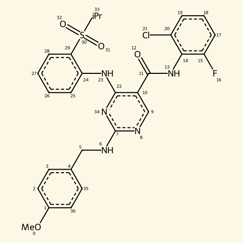 COc1ccc(CNc2ncc(C(=O)Nc3c(F)cccc3Cl)c(Nc3ccccc3S(=O)(=O)C(C)C)n2)cc1